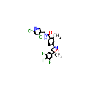 Cc1cc(C2=NOC(c3cc(F)c(F)c(F)c3)(C(F)(F)F)C2)ccc1C(=O)NCc1cnc(Cl)cc1Cl